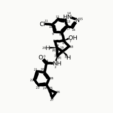 O=C(N[C@H]1[C@@H]2C[C@](O)(c3cc(Cl)cc4[nH]ncc34)C[C@@H]21)c1cccc(C2CC2)c1